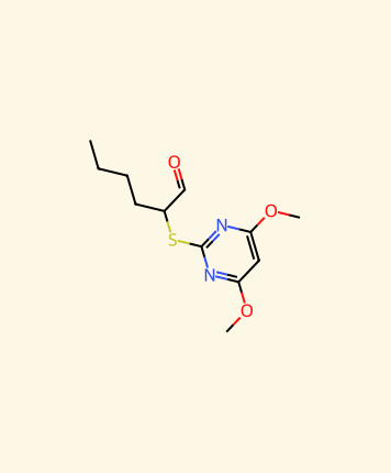 CCCCC(C=O)Sc1nc(OC)cc(OC)n1